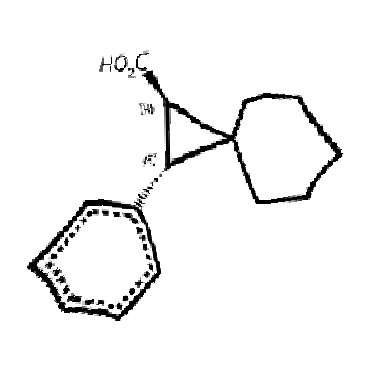 O=C(O)[C@@H]1[C@@H](c2ccccc2)C12CCCCC2